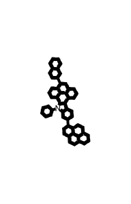 c1ccc(-n2c3cc(-c4ccc5ccc6cccc7ccc4c5c67)ccc3c3c4cccc5cc(-c6ccc7ccccc7c6)c6cccc(c6c54)c32)cc1